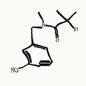 CCC(C)(C)C(=O)N(C)Cc1cccc(O)c1